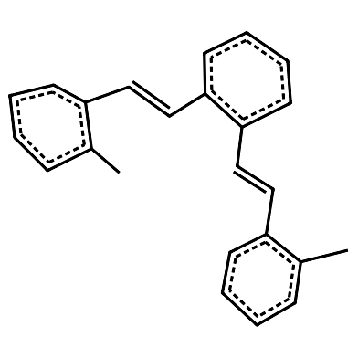 Cc1ccccc1C=Cc1ccccc1C=Cc1ccccc1C